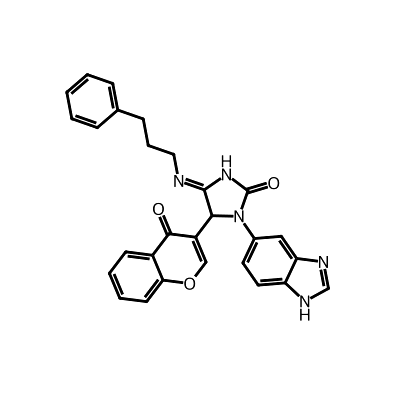 O=C1NC(=NCCCc2ccccc2)C(c2coc3ccccc3c2=O)N1c1ccc2[nH]cnc2c1